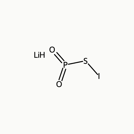 O=P(=O)SI.[LiH]